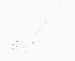 CCCCCC(O)CCCCSCCNC(=O)CCNC(=O)C(O)C(C)(C)COP(=O)(O)OP(=O)(O)OC[C@H]1O[C@@H](n2cnc3c(N)ncnc32)[C@H](O)[C@@H]1OP(=O)(O)O